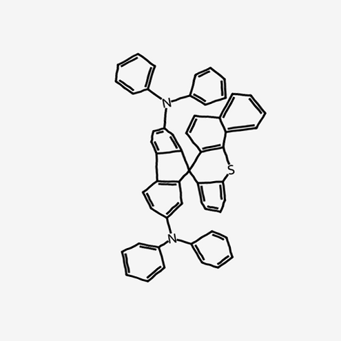 c1ccc(N(c2ccccc2)c2ccc3c(c2)C2(c4ccccc4Sc4c2ccc2ccccc42)c2cc(N(c4ccccc4)c4ccccc4)ccc2-3)cc1